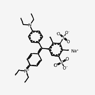 CCN(CC)c1ccc(C(=C2C=CC(=[N+](CC)CC)C=C2)c2cc(S(=O)(=O)[O-])c(C)c(S(=O)(=O)[O-])c2C)cc1.[Na+]